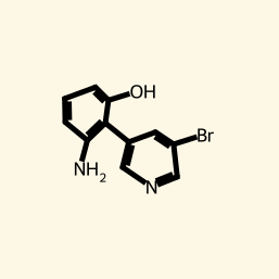 Nc1cccc(O)c1-c1cncc(Br)c1